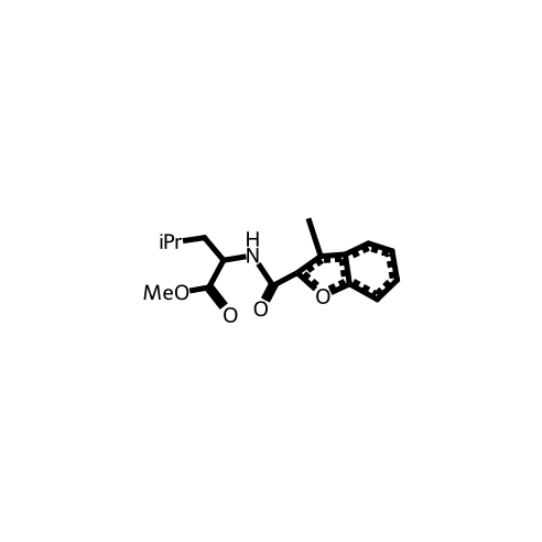 COC(=O)C(CC(C)C)NC(=O)c1oc2ccccc2c1C